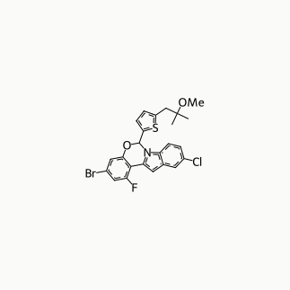 COC(C)(C)Cc1ccc(C2Oc3cc(Br)cc(F)c3-c3cc4cc(Cl)ccc4n32)s1